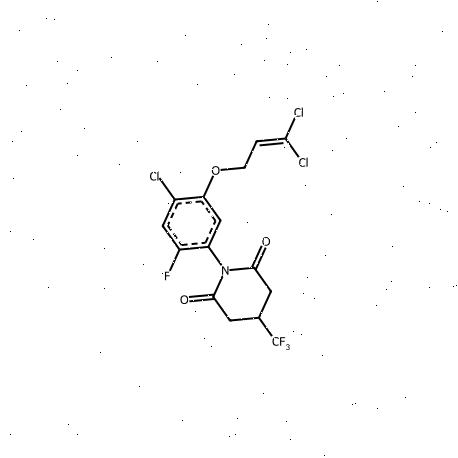 O=C1CC(C(F)(F)F)CC(=O)N1c1cc(OCC=C(Cl)Cl)c(Cl)cc1F